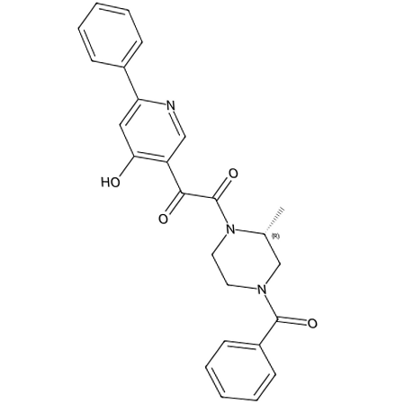 C[C@@H]1CN(C(=O)c2ccccc2)CCN1C(=O)C(=O)c1cnc(-c2ccccc2)cc1O